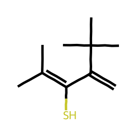 C=C(C(S)=C(C)C)C(C)(C)C